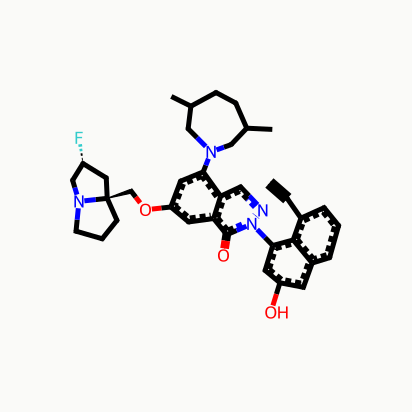 C#Cc1cccc2cc(O)cc(-n3ncc4c(N5CC(C)CCC(C)C5)cc(OC[C@@]56CCCN5C[C@H](F)C6)cc4c3=O)c12